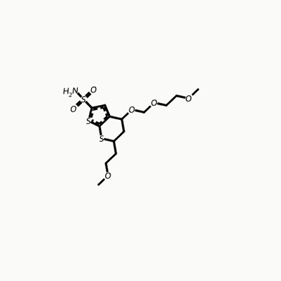 COCCOCOC1CC(CCOC)Sc2sc(S(N)(=O)=O)cc21